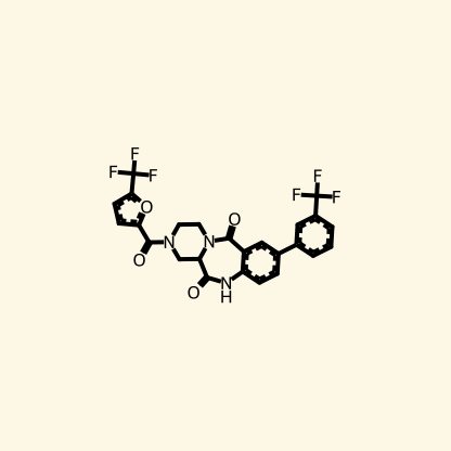 O=C1Nc2ccc(-c3cccc(C(F)(F)F)c3)cc2C(=O)N2CCN(C(=O)c3ccc(C(F)(F)F)o3)CC12